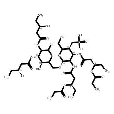 CCC(=O)O[C@H](CC)CC(=O)NC1[C@H](OCC2OC(O)C(NC(=O)C[C@H](O)CC)[C@@H](OC(=O)C[C@H](O)CC)[C@@H]2O)OC(CO)[C@@H](CP(=O)(O)O)[C@@H]1OC(=O)C[C@@H](CC)OC(=O)CC